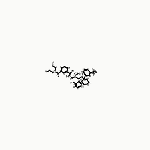 CCCN(CCC)C(=O)c1cccc(C(=O)N[C@@H](Cc2ccccc2)[C@H](O)CNC2(c3cccc(C(F)(F)F)c3)CCCCC2)c1